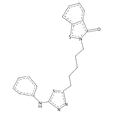 O=c1c2ccccc2sn1CCCCCc1nnc(Nc2ccccc2)s1